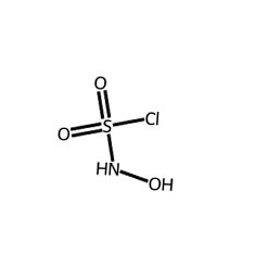 O=S(=O)(Cl)NO